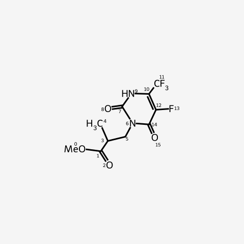 COC(=O)C(C)Cn1c(=O)[nH]c(C(F)(F)F)c(F)c1=O